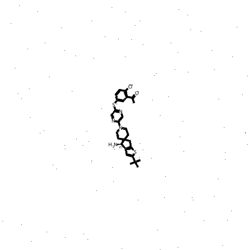 CC(=O)c1cc(Sc2cnc(N3CCC4(CC3)Cc3sc(C(C)(C)C)cc3[C@H]4N)cn2)ccc1Cl